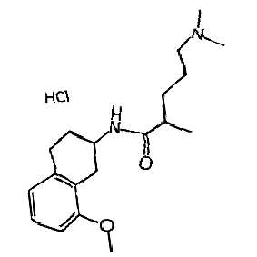 COc1cccc2c1CC(NC(=O)C(C)CCCN(C)C)CC2.Cl